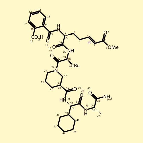 COC(=O)/C=C/CC[C@H](NC(=O)c1ccccc1C(=O)O)C(=O)N[C@H](C(=O)N1CCC[C@H](C(=O)N[C@H](C(=O)N[C@@H](C)C(N)=O)C2CCCCC2)C1)C(C)(C)C